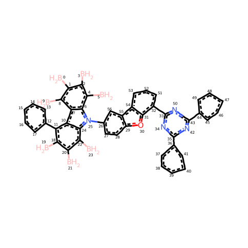 Bc1c(B)c(B)c2c(c1B)c1c(-c3ccccc3)c(B)c(B)c(B)c1n2-c1ccc2oc3c(-c4nc(-c5ccccc5)nc(-c5ccccc5)n4)cccc3c2c1